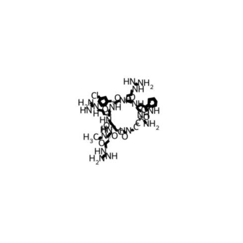 CC(=O)N[C@@H](CCCNC(=N)N)C(=O)N[C@H]1CCC(=O)NCCC[C@@H](C(N)=O)NC(=O)C(Cc2c[nH]c3ccccc23)NC(=O)[C@H](CCCNC(=N)N)NC(=O)[C@@H](Cc2cccc(Cl)c2)NC(=O)[C@H](CCCNC(=N)N)NC1=O